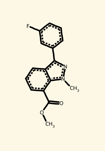 COC(=O)c1cccc2c(-c3cccc(F)c3)nn(C)c12